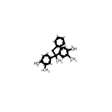 Cc1cc(C(C)(Cc2ccccc2)c2ccc(O)c(C)c2)ccc1O